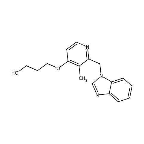 Cc1c(OCCCO)ccnc1Cn1cnc2ccccc21